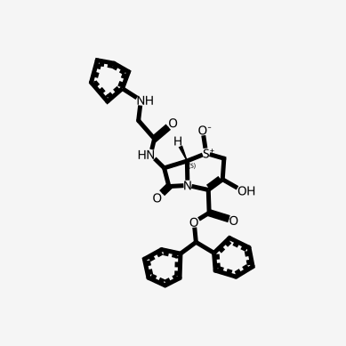 O=C(CNc1ccccc1)NC1C(=O)N2C(C(=O)OC(c3ccccc3)c3ccccc3)=C(O)C[S+]([O-])[C@@H]12